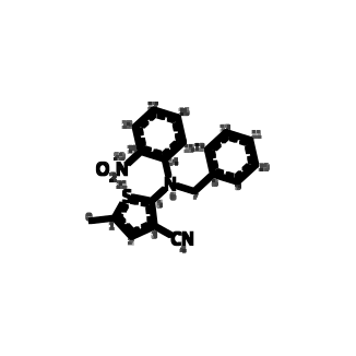 Cc1cc(C#N)c(N(Cc2ccccc2)c2ccccc2[N+](=O)[O-])s1